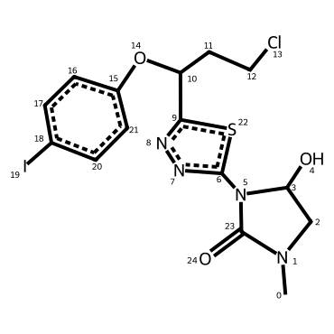 CN1CC(O)N(c2nnc(C(CCCl)Oc3ccc(I)cc3)s2)C1=O